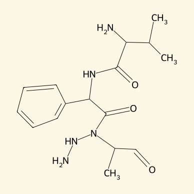 CC(C)C(N)C(=O)NC(C(=O)N(NN)C(C)C=O)c1ccccc1